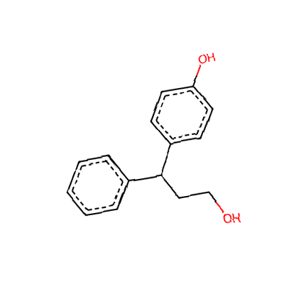 OCCC(c1ccccc1)c1ccc(O)cc1